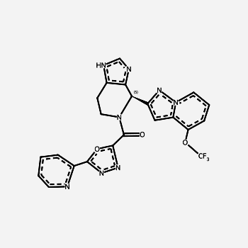 O=C(c1nnc(-c2ccccn2)o1)N1CCc2[nH]cnc2[C@H]1c1cc2c(OC(F)(F)F)cccn2n1